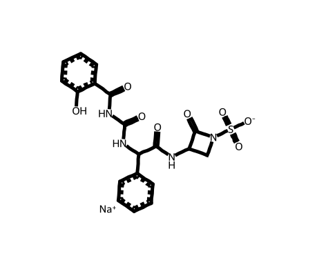 O=C(NC(=O)c1ccccc1O)NC(C(=O)NC1CN(S(=O)(=O)[O-])C1=O)c1ccccc1.[Na+]